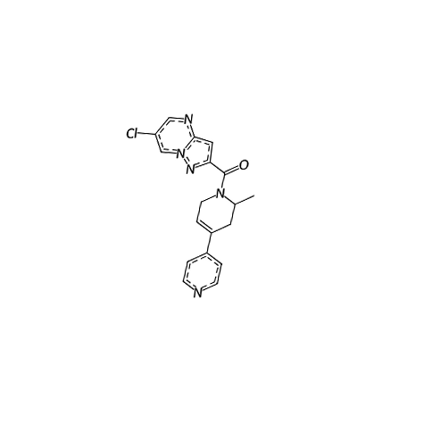 CC1CC(c2ccncc2)=CCN1C(=O)c1cc2ncc(Cl)cn2n1